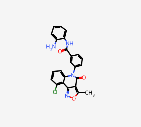 Cc1onc2c1c(=O)n(-c1cccc(C(=O)Nc3ccccc3N)c1)c1cccc(Cl)c21